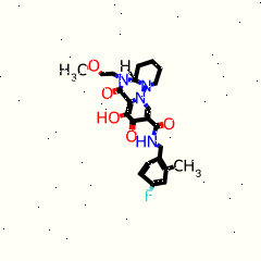 COCCN1C(=O)c2c(O)c(=O)c(C(=O)NCc3ccc(F)cc3C)cn2N2CCCC[C@@H]12